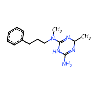 CC1N=C(N)NC(N(C)CCCc2ccccc2)=N1